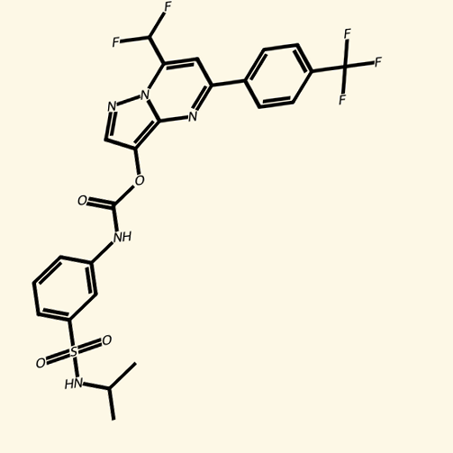 CC(C)NS(=O)(=O)c1cccc(NC(=O)Oc2cnn3c(C(F)F)cc(-c4ccc(C(F)(F)F)cc4)nc23)c1